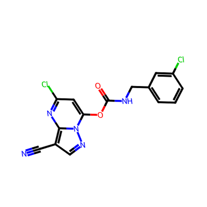 N#Cc1cnn2c(OC(=O)NCc3cccc(Cl)c3)cc(Cl)nc12